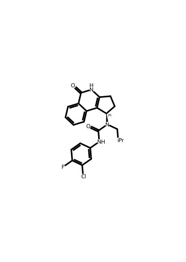 CC(C)CN(C(=O)Nc1ccc(F)c(Cl)c1)[C@@H]1CCc2[nH]c(=O)c3ccccc3c21